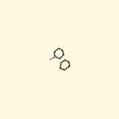 Ic1ccccc1.c1ccccc1